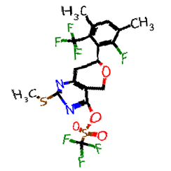 CSc1nc2c(c(OS(=O)(=O)C(F)(F)F)n1)CO[C@H](c1c(F)c(C)cc(C)c1C(F)(F)F)C2